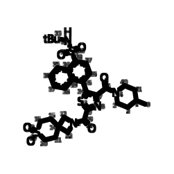 CC1CCN(C(=O)c2nc(C(=O)N3CC4(CCS(=O)(=O)CC4)C3)sc2-c2ccc(S(=O)(=O)NC(C)(C)C)c3ccccc23)CC1